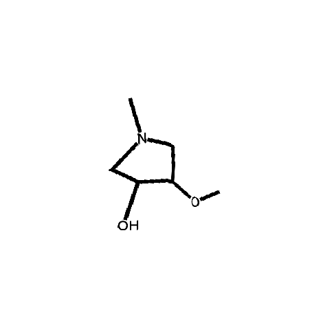 COC1CN(C)CC1O